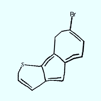 BrC1=CC=C2C=c3ccsc3=C2C1